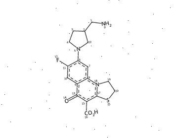 NCC1CCN(c2cc3c(cc2F)c(=O)c(C(=O)O)c2n3CCS2)C1